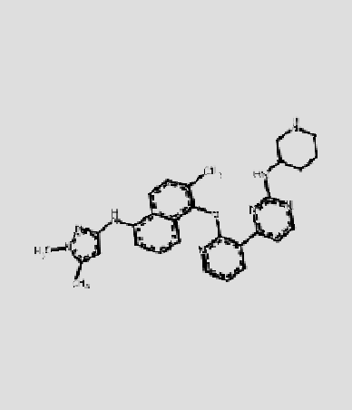 Cc1ccc2c(Nc3cc(C)n(C)n3)cccc2c1Oc1ncccc1-c1ccnc(NC2CCCNC2)n1